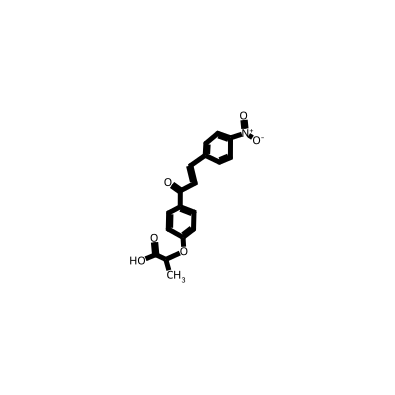 CC(Oc1ccc(C(=O)/C=C/c2ccc([N+](=O)[O-])cc2)cc1)C(=O)O